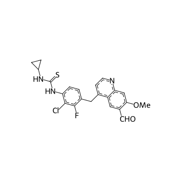 COc1cc2nccc(Cc3ccc(NC(=S)NC4CC4)c(Cl)c3F)c2cc1C=O